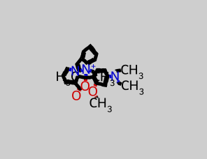 CCOc1cc(N(CC)CC)ccc1C1([N+]2(CC)C(C)=Cc3ccccc32)OC(=O)c2cccnc21